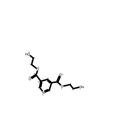 O=C(OCCO)c1cncc(C(=O)OCCO)c1